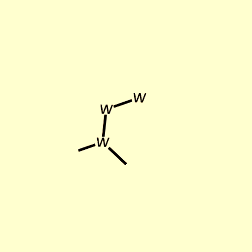 [CH3][W]([CH3])[W][W]